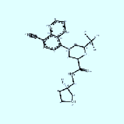 N#Cc1ccc(N2CC(C(=O)NC[C@]3(F)CCNC3)OC(C(F)(F)F)C2)c2nccnc12